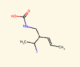 CC=CC(CNC(=O)O)C(C)I